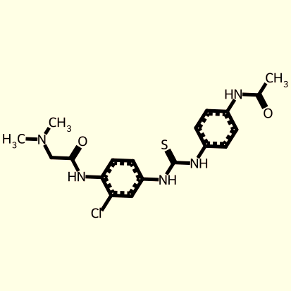 CC(=O)Nc1ccc(NC(=S)Nc2ccc(NC(=O)CN(C)C)c(Cl)c2)cc1